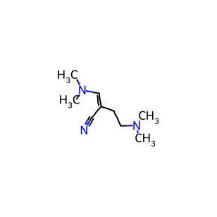 CN(C)/C=C(\C#N)CCN(C)C